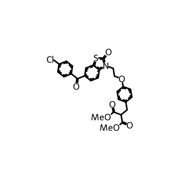 COC(=O)C(Cc1ccc(OCCn2c(=O)sc3cc(C(=O)c4ccc(Cl)cc4)ccc32)cc1)C(=O)OC